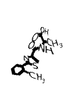 Cc1ccccc1-c1nc(C(=O)NC(C)C(=O)O)cs1